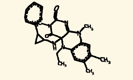 CCN1c2cc(C)c(C)cc2N(C)C2=NC(=O)N(C)C(=O)C21NC1CC1c1ccccc1